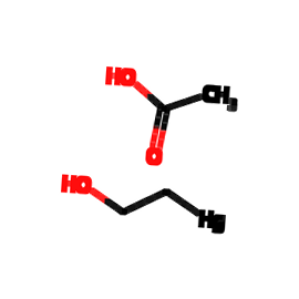 CC(=O)O.OC[CH2][Hg]